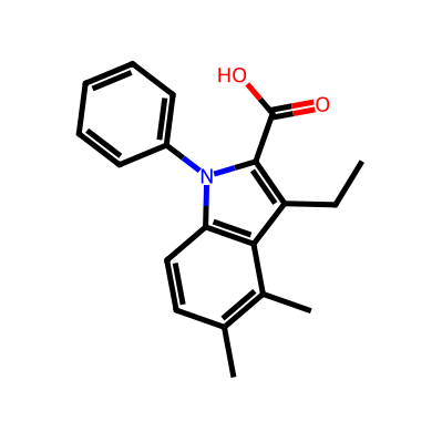 CCc1c(C(=O)O)n(-c2ccccc2)c2ccc(C)c(C)c12